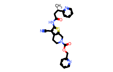 C[C@@H](CC(=O)Nc1sc2c(c1C#N)CCN(C(=O)OCc1ccccn1)C2)c1ccccn1